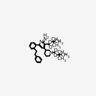 CC(C)(C)OC(=O)c1c(C2CCCN(C(=O)OC(C)(C)C)C2)cc(-c2ccccc2CCc2ccccc2)nc1N